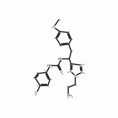 COc1ccc(CC(NC(=O)Nc2ccc(Cl)cc2)c2nnn(CCN)n2)cc1